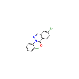 O=c1c2ccc(Br)cc2cnn1-c1ccccc1F